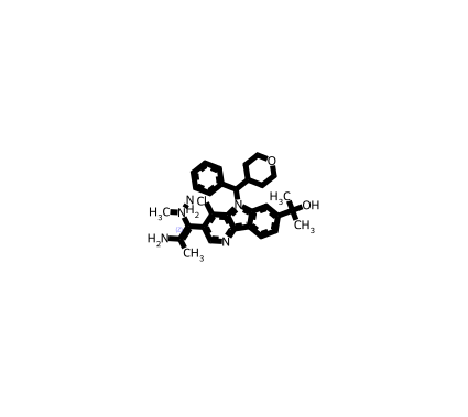 C/C(N)=C(\c1cnc2c3ccc(C(C)(C)O)cc3n(C(c3ccccc3)C3CCOCC3)c2c1Cl)N(C)N